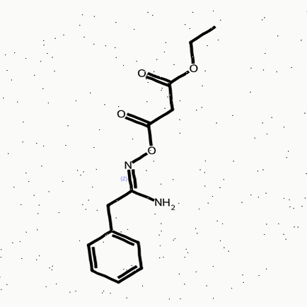 CCOC(=O)CC(=O)O/N=C(\N)Cc1ccccc1